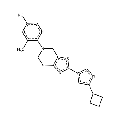 Cc1cc(C#N)cnc1N1CCc2nc(-c3cnn(C4CCC4)c3)sc2C1